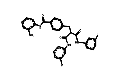 Nc1ccccc1NC(=O)c1ccc(CC(C(=O)Nc2cccc(F)c2)C(=O)Nc2cccc(F)c2)cc1